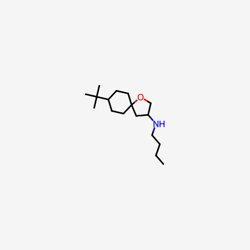 CCCCNC1COC2(CCC(C(C)(C)C)CC2)C1